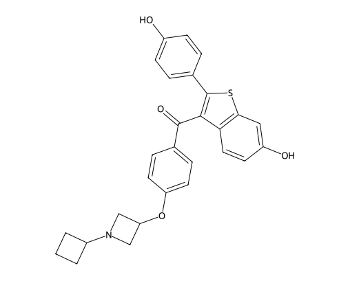 O=C(c1ccc(OC2CN(C3CCC3)C2)cc1)c1c(-c2ccc(O)cc2)sc2cc(O)ccc12